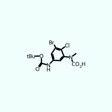 CN(C(=O)O)c1cc(NC(=O)OC(C)(C)C)cc(Br)c1Cl